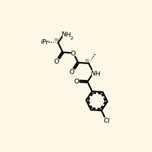 CC(C)[C@H](N)C(=O)OC(=O)[C@H](C)NC(=O)c1ccc(Cl)cc1